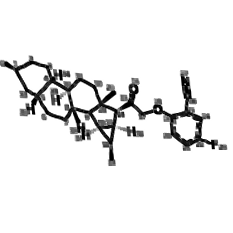 C[C@H]1CC[C@H]2[C@H](CC[C@H]3C4[C@@H]5[C@H](C)[C@@H]5[C@H](C(=O)COc5ccc(F)cc5C#N)[C@@]4(C)CC[C@H]23)C1